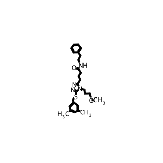 COCCCn1c(CCCC(=O)NCCc2ccccc2)nnc1SCc1cc(C)cc(C)c1